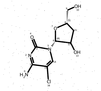 Nc1nc(=O)n([C@@H]2O[C@H](CO)CC2O)cc1Cl